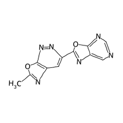 Cc1nc2cc(-c3nc4cncnc4o3)nnc2o1